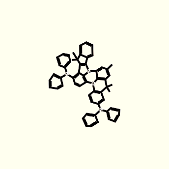 Cc1cc2c3c(c1)C(C)(C)c1cc(N(c4ccccc4)c4ccccc4)ccc1B3c1ccc(N(c3ccccc3)c3ccccc3)c3c4c(n-2c13)-c1ccccc1C4(C)C